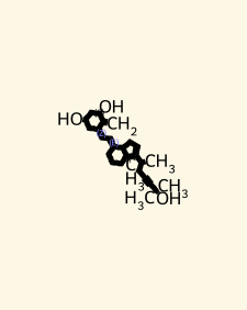 C=C1/C(=C\C=C2/CCC[C@]3(C)C(C(C)CC#CC(C)(C)O)=CCC23)CC(O)C[C@@H]1O